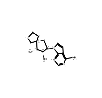 Nc1ncnc2c1ccn2[C@@H]1C[C@]2(CCOC2)[C@@H](O)[C@H]1O